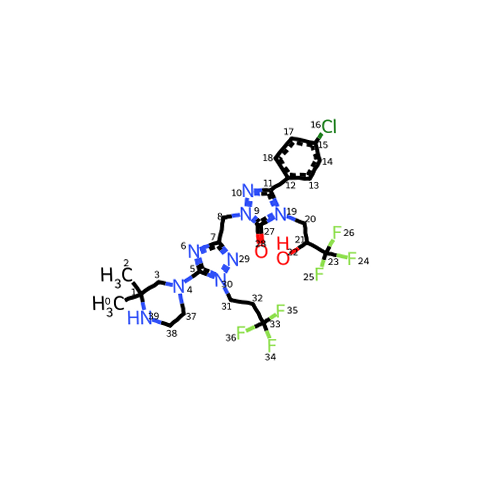 CC1(C)CN(c2nc(Cn3nc(-c4ccc(Cl)cc4)n(CC(O)C(F)(F)F)c3=O)nn2CCC(F)(F)F)CCN1